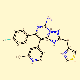 Cc1cc(-c2c(-c3ccc(F)cc3)nc(N)n3nc(Cc4cscn4)nc23)ccn1